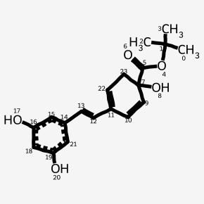 CC(C)(C)OC(=O)C1(O)C=CC(C=Cc2cc(O)cc(O)c2)=CC1